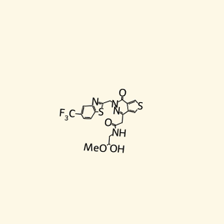 COC(O)CNC(=O)Cc1nn(Cc2nc3cc(C(F)(F)F)ccc3s2)c(=O)c2cscc12